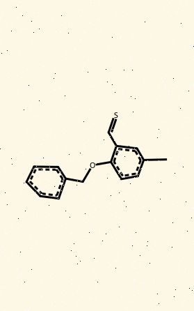 Cc1ccc(OCc2ccccc2)c(C=S)c1